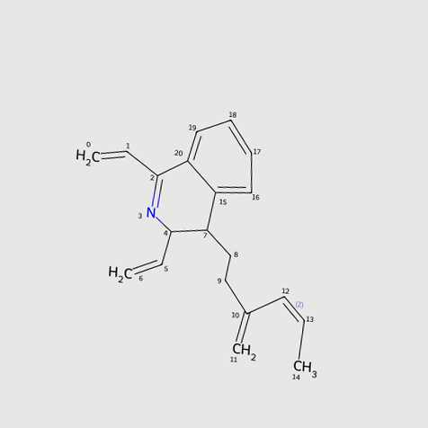 C=CC1=NC(C=C)C(CCC(=C)/C=C\C)c2ccccc21